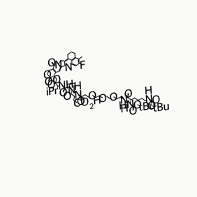 Cc1c(F)cc2nc3c(c4c2c1CCC4)Cn1c-3cc2c(c1=O)COC(=O)C2OC(=O)C(NC(=O)C1CCCN1C(=O)C(CC(=O)O)NC(=O)CCOCCOCCOCCNC(=O)C(CCCCNC(=O)OC(C)(C)C)NC(=O)OC(C)(C)C)C(C)C